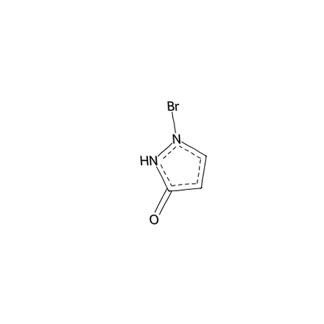 O=c1ccn(Br)[nH]1